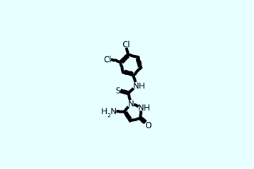 Nc1cc(=O)[nH]n1C(=S)Nc1ccc(Cl)c(Cl)c1